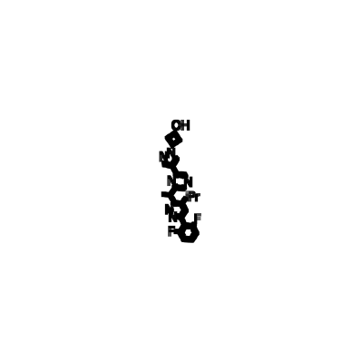 CC(C)c1cc(-c2c(F)cccc2F)nnc1C(C)c1cncc(-c2cnn([C@H]3C[C@H](O)C3)c2)n1